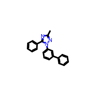 Cc1nc(-c2ccccc2)n(-c2cccc(-c3ccccc3)c2)n1